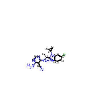 C[C@H](Nc1ncnc(N)c1C#N)c1nc2ccc(F)cc2n1C1CC1